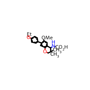 CCOc1ccc(-c2cc3c(cc2OC)C(NC(=O)O)C(C)(C)CO3)cc1